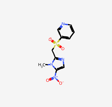 Cn1c([N+](=O)[O-])cnc1CS(=O)(=O)c1cccnc1